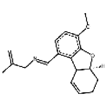 C=C(C)C/N=C/c1ccc(OC)c2c1C1C=CCC[C@@H]1O2